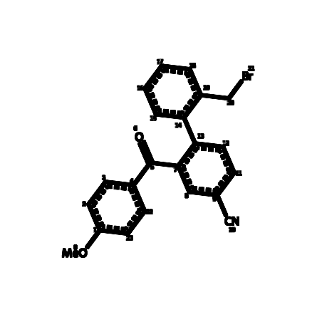 COc1ccc(C(=O)c2cc(C#N)ccc2-c2ccccc2CBr)cc1